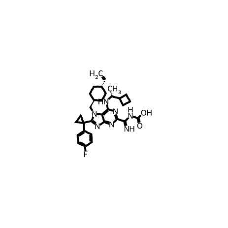 C=C[C@H]1CC[C@H](Cn2c(C3(c4ccc(F)cc4)CC3)nc3nc(C(=N)NC(=O)O)nc(N[C@H](C)C4CCC4)c32)CC1